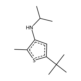 Cc1sc(C(C)(C)C)cc1NC(C)C